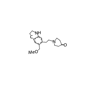 COCc1cc2c(cc1CCN1CCC(=O)CC1)NCCC2